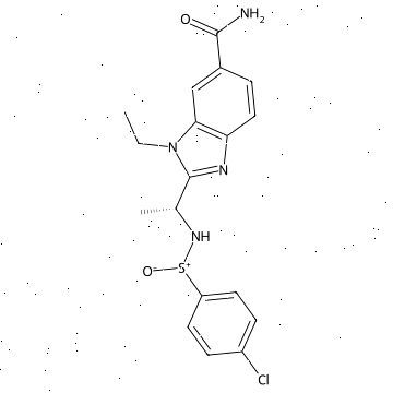 CCn1c([C@@H](C)N[S+]([O-])c2ccc(Cl)cc2)nc2ccc(C(N)=O)cc21